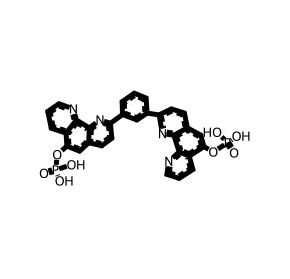 O=P(O)(O)Oc1cc2ccc(-c3cccc(-c4ccc5cc(OP(=O)(O)O)c6cccnc6c5n4)c3)nc2c2ncccc12